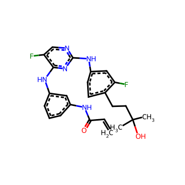 C=CC(=O)Nc1cccc(Nc2nc(Nc3ccc(CCC(C)(C)O)c(F)c3)ncc2F)c1